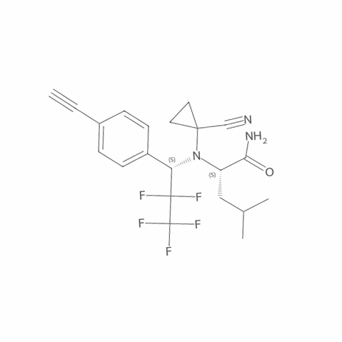 C#Cc1ccc([C@H](N([C@@H](CC(C)C)C(N)=O)C2(C#N)CC2)C(F)(F)C(F)(F)F)cc1